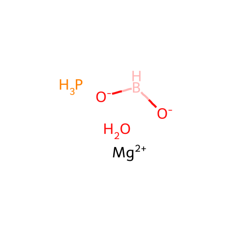 O.P.[Mg+2].[O-]B[O-]